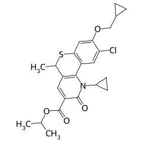 CC(C)OC(=O)c1cc2c(n(C3CC3)c1=O)-c1cc(Cl)c(OCC3CC3)cc1SC2C